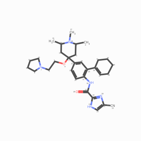 CC1CC(OCCN2CCCC2)(c2ccc(NC(=O)c3nc(C#N)c[nH]3)c(C3=CCCCC3)c2)CC(C)N1C